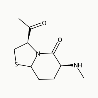 CN[C@H]1CCC2SC[C@@H](C(C)=O)N2C1=O